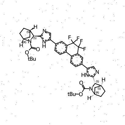 CC(C)(C)OC(=O)N1[C@@H]2CC[C@@H](C2)[C@H]1c1ncc(-c2ccc3c(c2)C(F)(F)C(F)(F)c2cc(-c4cnc([C@@H]5[C@H]6CC[C@H](C6)N5C(=O)OC(C)(C)C)[nH]4)ccc2-3)[nH]1